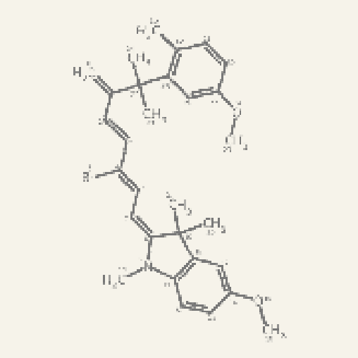 C=C(/C=C/C(Br)=C/C=C1/N(C)c2ccc(OC)cc2C1(C)C)C(C)(C)c1cc(OC)ccc1C